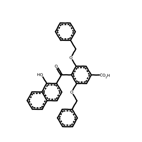 O=C(O)c1cc(OCc2ccccc2)c(C(=O)c2ccc3ccccc3c2O)c(OCc2ccccc2)c1